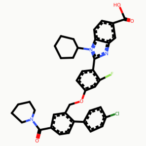 O=C(O)c1ccc2c(c1)nc(-c1ccc(OCc3cc(C(=O)N4CCCCC4)ccc3-c3ccc(Cl)cc3)cc1F)n2C1CCCCC1